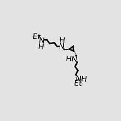 CCNCCCCNC[C@H]1C[C@@H]1CNCCCCNCC